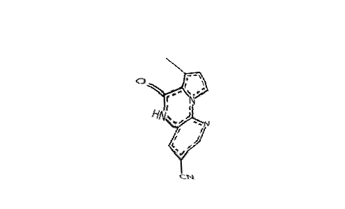 Cc1ccn2c1c(=O)[nH]c1cc(C#N)cnc12